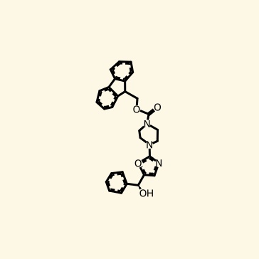 O=C(OCC1c2ccccc2-c2ccccc21)N1CCN(c2ncc([C@@H](O)c3ccccc3)o2)CC1